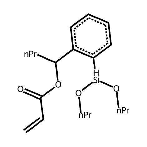 C=CC(=O)OC(CCC)c1ccccc1[SiH](OCCC)OCCC